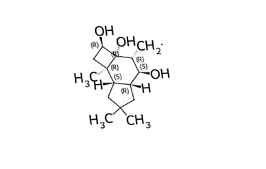 [CH2][C@@H]1[C@@H](O)[C@@H]2CC(C)(C)C[C@@H]2[C@@]2(C)C[C@@H](O)[C@@]12O